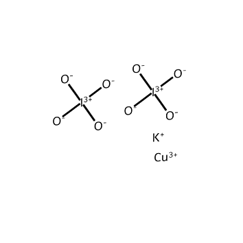 [Cu+3].[K+].[O-][I+3]([O-])([O-])[O-].[O-][I+3]([O-])([O-])[O-]